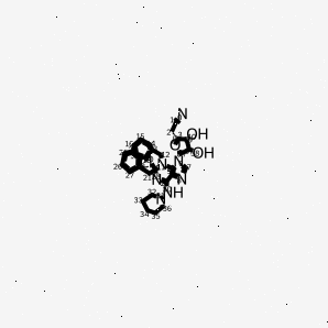 N#CC[C@H]1O[C@@H](n2cnc3c2N(Cc2ccccc2)C(Cl)(Cc2ccccc2)N=C3NN2CCCCC2)C(O)C1O